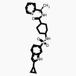 C[C@@H](NC(=O)C1CCC(NS(=O)(=O)c2ccc3cc(C4CC4)[nH]c3c2)CC1)c1ccccn1